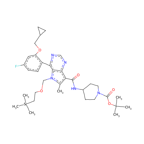 Cc1c(C(=O)NC2CCN(C(=O)OC(C)(C)C)CC2)c2ncnc(-c3ccc(F)cc3OCC3CC3)c2n1COCC[Si](C)(C)C